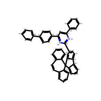 C1=Cc2ccccc2C2(c3ccccc31)c1ccccc1-c1ccc(-c3nc(-c4ccccc4)cc(-c4ccc(-c5ccccc5)cc4)n3)cc12